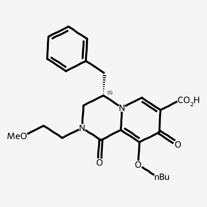 CCCCOc1c2n(cc(C(=O)O)c1=O)[C@@H](Cc1ccccc1)CN(CCOC)C2=O